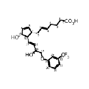 O=C(O)CCCC=CC[C@H]1C=C[C@@H](O)[C@@H]1C=CC(O)COc1cccc(C(F)(F)F)c1